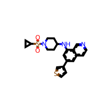 O=S(=O)(C1CC1)N1CCC(Nc2cc(-c3ccsc3)cc3ccncc23)CC1